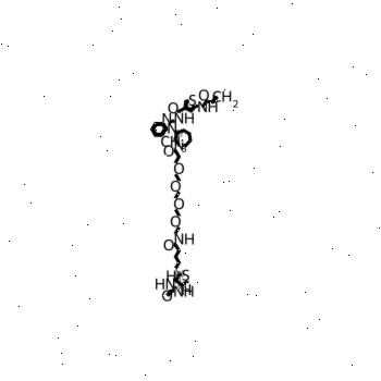 C=CC(=O)Nc1cc(C(=O)Nc2nc3cccc(C)c3n2[C@@H]2CCCCN(C(=O)CCOCCOCCOCCOCCNC(=O)CCCC[C@@H]3SC[C@@H]4NC(=O)N[C@@H]43)C2)cs1